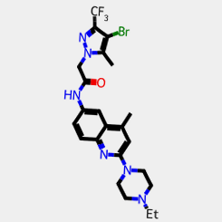 CCN1CCN(c2cc(C)c3cc(NC(=O)Cn4nc(C(F)(F)F)c(Br)c4C)ccc3n2)CC1